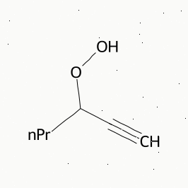 C#CC(CCC)OO